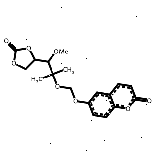 COC(C1COC(=O)O1)C(C)(C)OCOc1ccc2oc(=O)ccc2c1